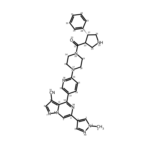 Cn1cc(-c2cn3ncc(C#N)c3c(-c3ccc(N4CCN(C(=O)C5CNC[C@H]5c5ccccc5)CC4)nc3)n2)cn1